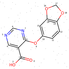 O=C(O)c1cncnc1Oc1ccc2c(c1)OCO2